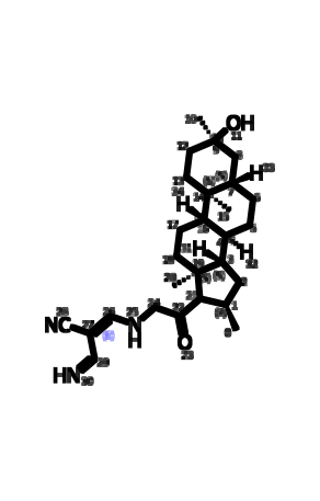 C[C@@H]1C[C@H]2[C@@H]3CC[C@H]4C[C@](C)(O)CC[C@]4(C)[C@H]3CC[C@]2(C)C1C(=O)CN/C=C(/C#N)C=N